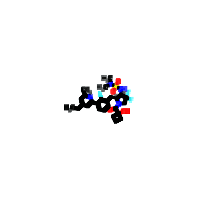 CCc1cc(C)nc(-c2cccc(C[C@H]3[C@@H](NS(=O)(=O)N(C)C)C(F)(F)CN3C(=O)C3(O)CCC3)c2F)c1